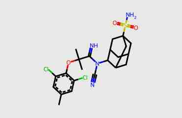 Cc1cc(Cl)c(OC(C)(C)C(=N)N(C#N)C2C3CC4CC2CC(S(N)(=O)=O)(C4)C3)c(Cl)c1